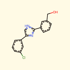 OCc1cccc(-c2nc(-c3cccc(Cl)c3)c[nH]2)c1